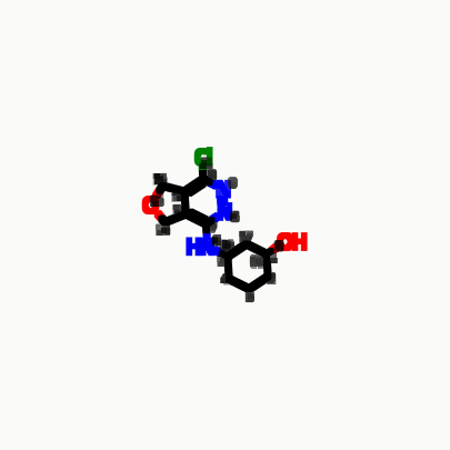 O[C@H]1CCC[C@@H](Nc2nnc(Cl)c3c2COC3)C1